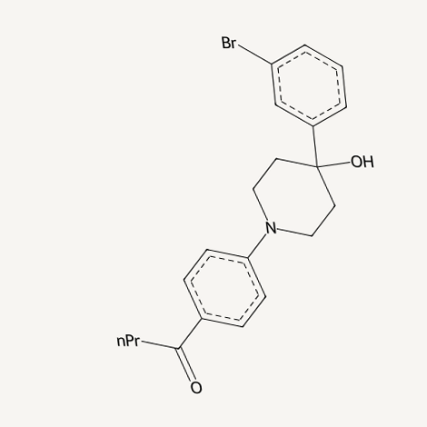 CCCC(=O)c1ccc(N2CCC(O)(c3cccc(Br)c3)CC2)cc1